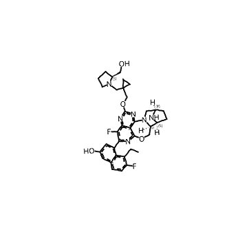 CCc1c(F)ccc2cc(O)cc(-c3nc4c5c(nc(OCC6(CN7CCC[C@H]7CO)CC6)nc5c3F)N3C[C@H]5CC[C@H](N5)[C@H]3CO4)c12